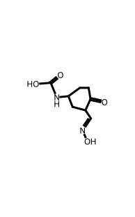 O=C(O)NC1CCC(=O)C(C=NO)C1